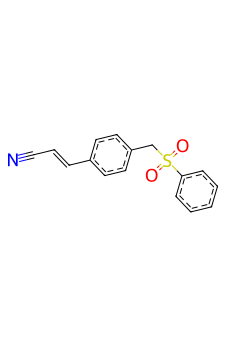 N#CC=Cc1ccc(CS(=O)(=O)c2ccccc2)cc1